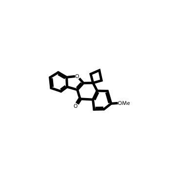 COc1ccc2c(c1)C1(CCC1)c1oc3ccccc3c1C2=O